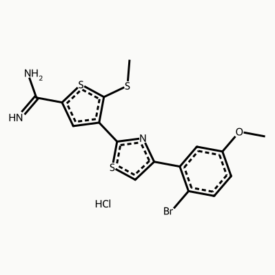 COc1ccc(Br)c(-c2csc(-c3cc(C(=N)N)sc3SC)n2)c1.Cl